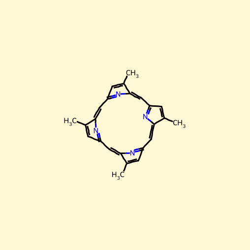 CC1=CC2=NC1=CC1=NC(=CC3=NC(=CC4=NC(=C2)C(C)=C4)C(C)=C3)C(C)=C1